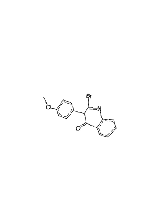 COc1ccc(C2C(=O)c3ccccc3N=C2Br)cc1